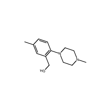 Cc1ccc(N2CCN(C)CC2)c(CO)c1